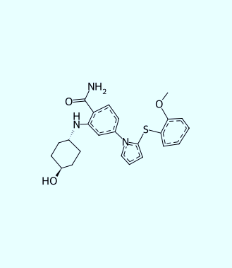 COc1ccccc1Sc1cccn1-c1ccc(C(N)=O)c(N[C@H]2CC[C@H](O)CC2)c1